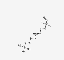 C=C[Si](C)(C)CCCNCCCC[Si](CC)(CC)CC